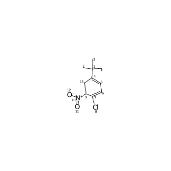 CC(C)(C)C1=CC=C(Cl)C([N+](=O)[O-])C1